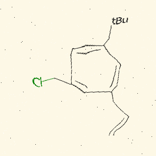 C=Cc1cc(Cl)cc(C(C)(C)C)c1